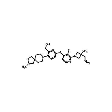 C[C@H]1CC2(CCN(c3ncc(Sc4ccnc(N5CC(C)(C[S+]=O)C5)c4Cl)nc3CO)CC2)CO1